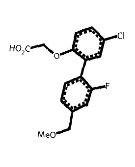 COCc1ccc(-c2cc(Cl)ccc2OCC(=O)O)c(F)c1